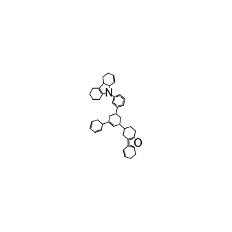 C1=CCC(C2=CC(C3CCc4oc5c(c4C3)C=CCC5)CC(c3cccc(N4C5=C(CCCC5)C5CCC=CC54)c3)C2)C=C1